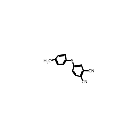 Cc1ccc(Sc2ccc(C#N)c(C#N)c2)cc1